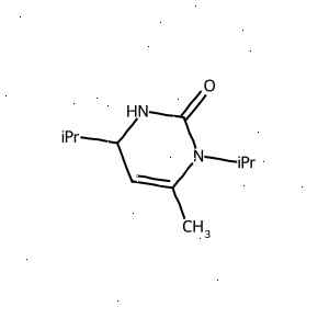 CC1=CC(C(C)C)NC(=O)N1C(C)C